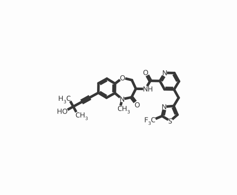 CN1C(=O)C(NC(=O)c2cc(Cc3csc(C(F)(F)F)n3)ccn2)COc2ccc(C#CC(C)(C)O)cc21